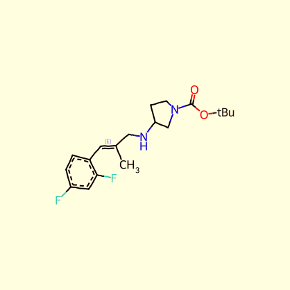 C/C(=C\c1ccc(F)cc1F)CNC1CCN(C(=O)OC(C)(C)C)C1